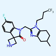 CC1CCc2c(nc(CN3C(=O)C4(CNC4)c4ccc(F)cc43)n2CCCC(F)(F)F)C1